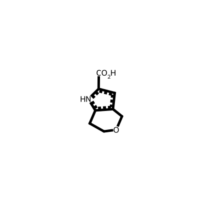 O=C(O)c1cc2c([nH]1)CCOC2